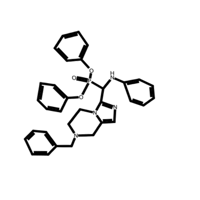 O=P(Oc1ccccc1)(Oc1ccccc1)C(Nc1ccccc1)c1ncc2n1CCN(Cc1ccccc1)C2